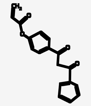 C=CC(=O)Oc1ccc(C(=O)CC(=O)c2ccccc2)cc1